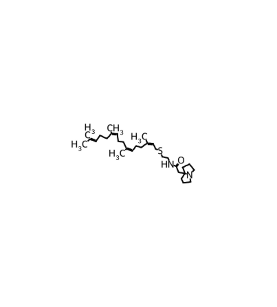 CC(C)=CCCC(C)=CCCC(C)=CCCC(C)=CCSCCNC(=O)CC12CCCN1CCC2